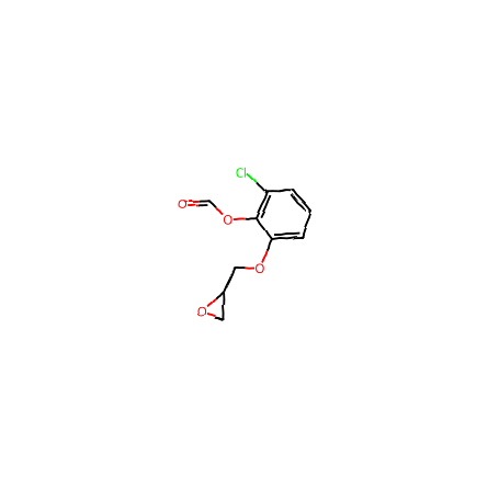 O=COc1c(Cl)cccc1OCC1CO1